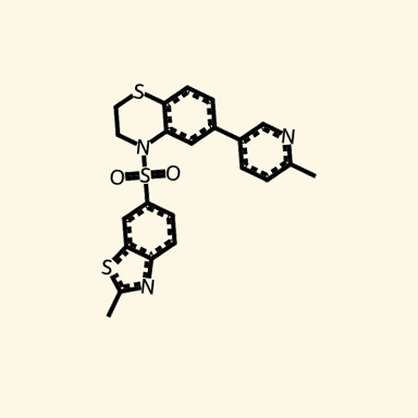 Cc1ccc(-c2ccc3c(c2)N(S(=O)(=O)c2ccc4nc(C)sc4c2)CCS3)cn1